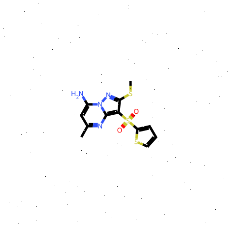 CSc1nn2c(N)cc(C)nc2c1S(=O)(=O)c1cccs1